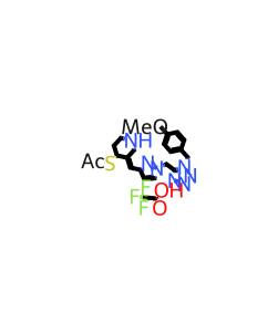 COc1ccc(Cn2nnnc2Cn2ccc(C=C3CNCCC3SC(C)=O)n2)cc1.O=C(O)C(F)(F)F